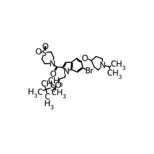 CC(C)N1CCC(Oc2cc3cc(C(=O)N4CCS(=O)(=O)CC4)n(CCO[Si](C)(C)C(C)(C)C)c3cc2Br)CC1